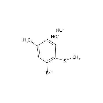 [B+2]c1cc(C)ccc1SC.[OH-].[OH-]